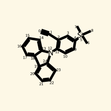 C#Cc1cc([Si](C)(C)C)ccc1-n1c2ccccc2c2ccccc21